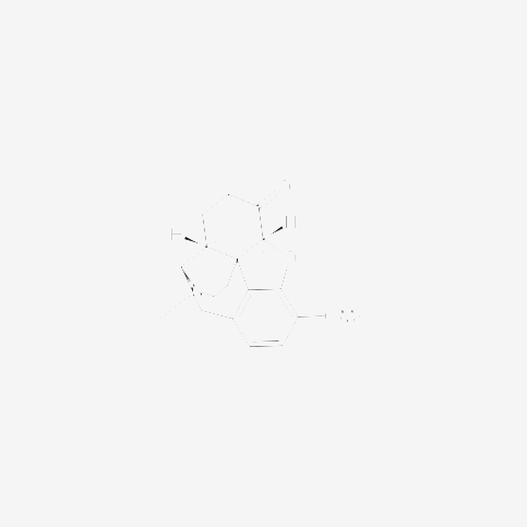 COc1ccc2c3c1O[C@H]1C(=O)CC[C@H]4C(C2)N(C)CCC314